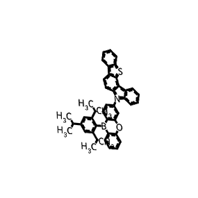 CC(C)c1cc(C(C)C)c(B2c3ccccc3Oc3cc(-n4c5ccccc5c5c6sc7ccccc7c6ccc54)ccc32)c(C(C)C)c1